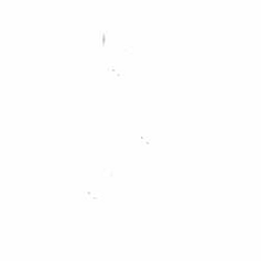 CC(C)(COC(=O)Nc1ccccc1)NC(=O)c1cc2[nH]c3ccccc3c(=O)c2cc1Br